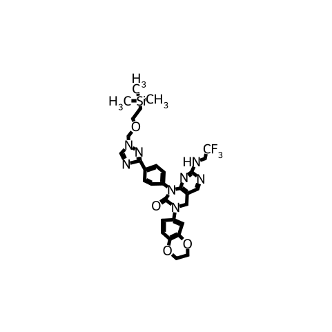 C[Si](C)(C)CCOCn1cnc(-c2ccc(N3C(=O)N(c4ccc5c(c4)OCCO5)Cc4cnc(NCC(F)(F)F)nc43)cc2)n1